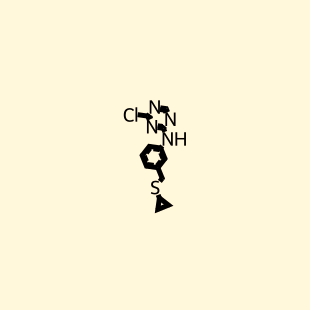 Clc1ncnc(Nc2cccc(CSC3CC3)c2)n1